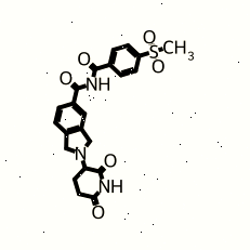 CS(=O)(=O)c1ccc(C(=O)NC(=O)c2ccc3c(c2)CN(C2CCC(=O)NC2=O)C3)cc1